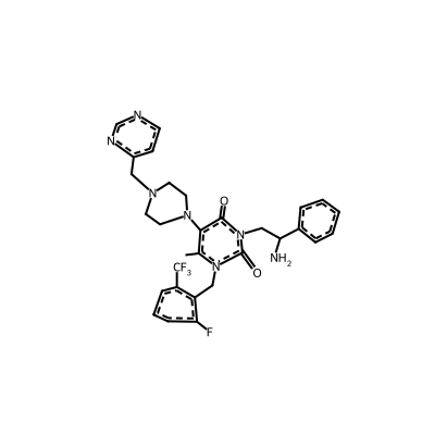 Cc1c(N2CCN(Cc3ccncn3)CC2)c(=O)n(CC(N)c2ccccc2)c(=O)n1Cc1c(F)cccc1C(F)(F)F